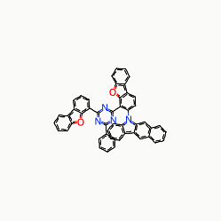 c1ccc(-c2nc(-c3cccc4c3oc3ccccc34)nc(-c3c(-n4c5ccccc5c5cc6ccccc6cc54)ccc4c3oc3ccccc34)n2)cc1